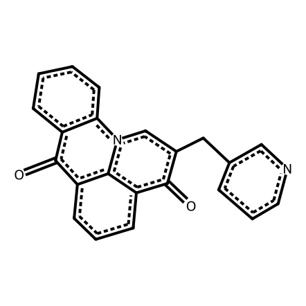 O=c1c(Cc2cccnc2)cn2c3ccccc3c(=O)c3cccc1c32